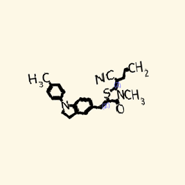 C=CC/C(C#N)=c1/s/c(=C\c2ccc3c(c2)CCN3c2ccc(C)cc2)c(=O)n1C